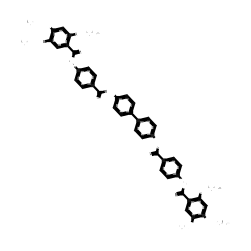 COc1cc(OC)c(C(=O)Nc2ccc(C(=O)Oc3ccc(-c4ccc(OC(=O)c5ccc(NC(=O)c6cc(OC)c(OC)cc6OC)cc5)cc4)cc3)cc2)cc1OC